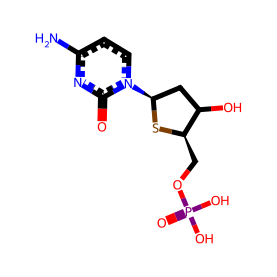 Nc1ccn([C@H]2CC(O)[C@@H](COP(=O)(O)O)S2)c(=O)n1